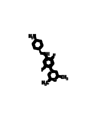 CC1CN(c2cc(F)c(NC[C@H]3CC[C@H](N)CC3)cc2F)CC(C)O1